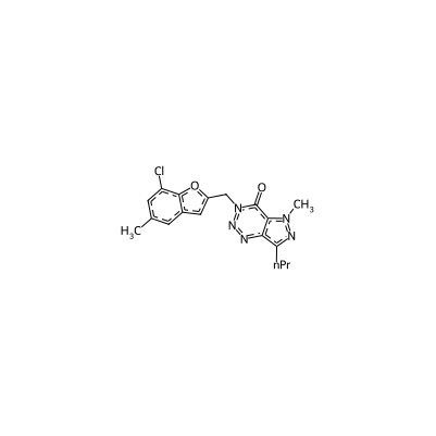 CCCc1nn(C)c2c(=O)n(Cc3cc4cc(C)cc(Cl)c4o3)nnc12